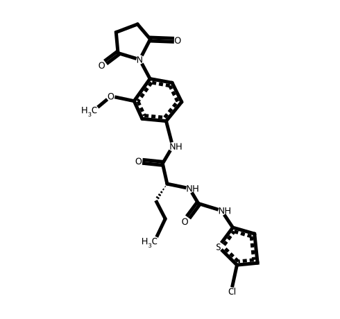 CCC[C@@H](NC(=O)Nc1ccc(Cl)s1)C(=O)Nc1ccc(N2C(=O)CCC2=O)c(OC)c1